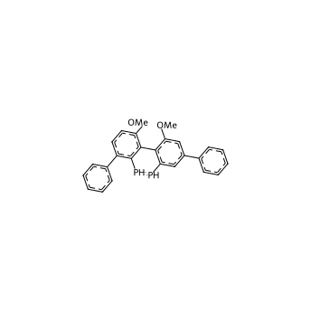 COc1cc(-c2ccccc2)cc([PH])c1-c1c(OC)ccc(-c2ccccc2)c1[PH]